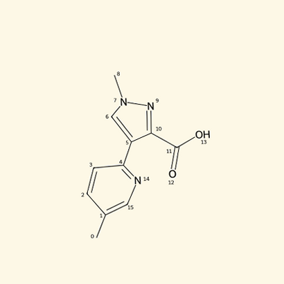 Cc1ccc(-c2cn(C)nc2C(=O)O)nc1